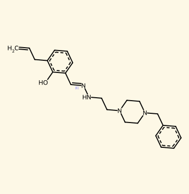 C=CCc1cccc(/C=N/NCCN2CCN(Cc3ccccc3)CC2)c1O